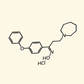 Cl.ON=C(CCN1CCCCCC1)c1ccc(Oc2ccccc2)cc1